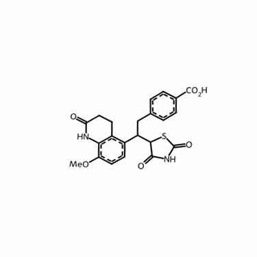 COc1ccc(C(Cc2ccc(C(=O)O)cc2)C2SC(=O)NC2=O)c2c1NC(=O)CC2